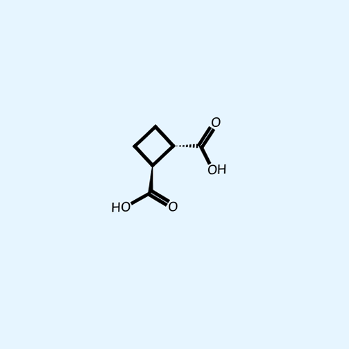 O=C(O)[C@H]1CC[C@@H]1C(=O)O